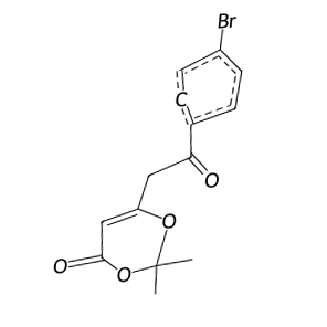 CC1(C)OC(=O)C=C(CC(=O)c2ccc(Br)cc2)O1